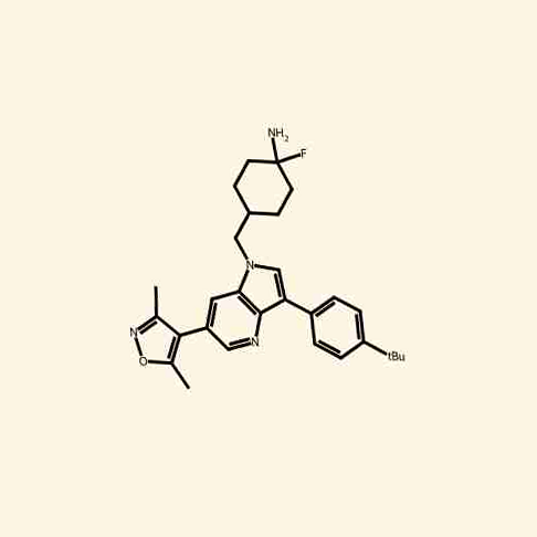 Cc1noc(C)c1-c1cnc2c(-c3ccc(C(C)(C)C)cc3)cn(CC3CCC(N)(F)CC3)c2c1